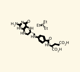 CCN(CC)CC.Nc1nc(=O)c2c([nH]1)NC[C@@H](CNc1ccc(C(=O)N[C@@H](CCC(=O)O)C(=O)O)cc1)N2